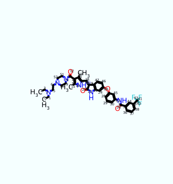 CCN(CC)CCN1CCN(C(=O)c2c(C)[nH]c(/C=C3\C(=O)Nc4cc(Oc5cccc(NC(=O)c6cccc(C(F)(F)F)c6)c5)ccc43)c2C)CC1